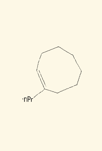 CC[CH]/C1=C/CCCCCC1